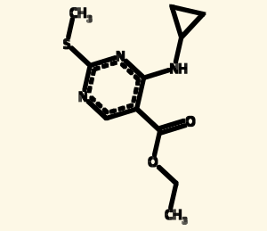 CCOC(=O)c1cnc(SC)nc1NC1CC1